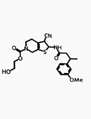 COc1cccc(C(C)CC(=O)NC2SC3=C(CCN(C(=O)OCCO)C3)C2C#N)c1